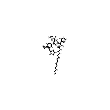 CCCCCCCCCCCCCC(=O)C(C)C(c1cscn1)N1C[C@@H](c2ccc(OC)c(OC3CCCC3)c2)[C@](C)([C@@H](C)O)C1